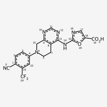 N#Cc1ccc(N2CCc3c(ncnc3Nc3ncc(C(=O)O)o3)C2)cc1C(F)(F)F